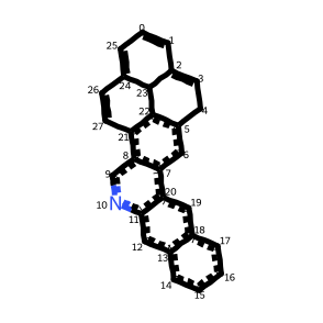 C1=CC2=CCc3cc4c(cnc5cc6ccccc6cc54)c4c3C2C(=C1)C=C4